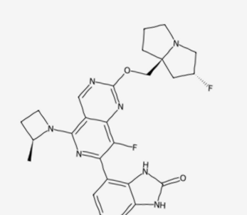 C[C@H]1CCN1c1nc(-c2cccc3[nH]c(=O)[nH]c23)c(F)c2nc(OC[C@@]34CCCN3C[C@H](F)C4)ncc12